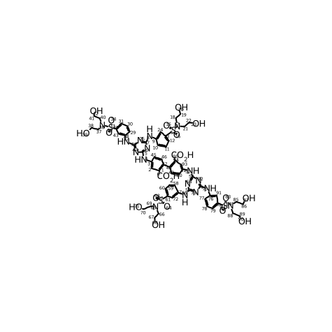 O=C(O)c1cc(Nc2nc(Nc3cccc(S(=O)(=O)N(CCO)CCO)c3)nc(Nc3cccc(S(=O)(=O)N(CCO)CCO)c3)n2)ccc1-c1ccc(Nc2nc(Nc3cccc(S(=O)(=O)N(CCO)CCO)c3)nc(Nc3cccc(S(=O)(=O)N(CCO)CCO)c3)n2)cc1C(=O)O